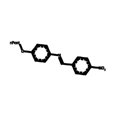 CCCCCOc1ccc(N=Cc2ccc([N+](=O)[O-])cc2)cc1